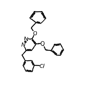 Clc1cccc(Cc2cc(OCc3ccccc3)c(OCc3ccccc3)nn2)c1